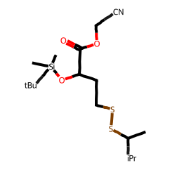 CC(C)C(C)SSCCC(O[Si](C)(C)C(C)(C)C)C(=O)OCC#N